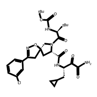 CC(C)(C)OC(=O)N[C@H](C(=O)N1C[C@@]2(CC(c3cccc(Cl)c3)=NO2)C[C@H]1C(=O)N[C@@H](CC1CC1)C(=O)C(N)=O)C(C)(C)C